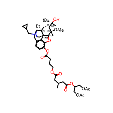 CC[C@]12C[C@H]([C@](C)(O)C(C)(C)C)[C@]3(OC)C[C@@]34Oc3c(OC(=O)CCCOC(=O)CC(C)CC(=O)OC(COC(C)=O)COC(C)=O)ccc5c3[C@]14CCN(CC1CC1)C2C5